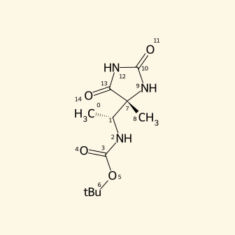 C[C@@H](NC(=O)OC(C)(C)C)[C@@]1(C)NC(=O)NC1=O